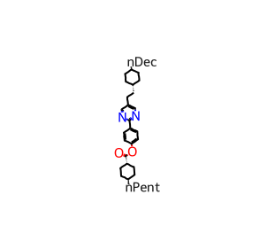 CCCCCCCCCC[C@H]1CC[C@H](CCc2cnc(-c3ccc(OC(=O)[C@H]4CC[C@H](CCCCC)CC4)cc3)nc2)CC1